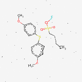 CCCCS(=O)(=O)OF.COc1ccc(Sc2ccc(OC)cc2)cc1